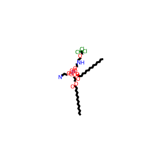 CCCCCCCCCCCCCC(=O)OCC(COP(=O)(OOCCC#N)OOCCNCCOCC(Cl)(Cl)Cl)OC(=O)CCCCCCCCCCCCC